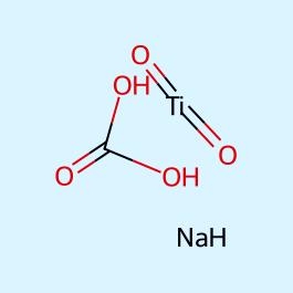 O=C(O)O.[NaH].[O]=[Ti]=[O]